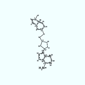 Cc1cnc2cc(CCC3CCC(n4ccc5c(N)ncnc54)C3)ccn12